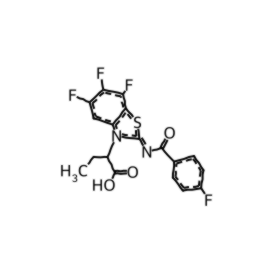 CCC(C(=O)O)n1c(=NC(=O)c2ccc(F)cc2)sc2c(F)c(F)c(F)cc21